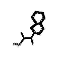 CN(C(=O)O)C(F)c1ccc2ccccc2c1